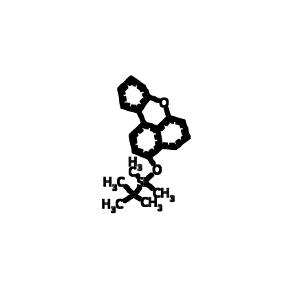 CC(C)(C)[Si](C)(C)Oc1ccc2c3c(cccc13)Oc1ccccc1-2